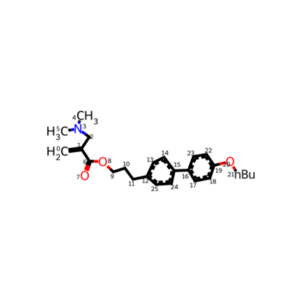 C=C(CN(C)C)C(=O)OCCCc1ccc(-c2ccc(OCCCC)cc2)cc1